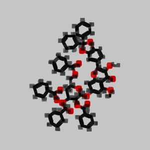 COc1c(-c2ccc3c(c2)OC(c2ccccc2)(c2ccccc2)O3)oc2cc(O[C@@H]3OC(COC(=O)c4ccccc4)[C@@H](OC(=O)c4ccccc4)C(OC(=O)c4ccccc4)[C@@H]3OC(=O)c3ccccc3)cc(OC)c2c1=O